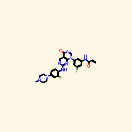 C=CC(=O)Nc1cc(F)cc(-n2cnc(=O)c3cnc(Nc4ccc(N5CCN(C)CC5)cc4F)nc32)c1